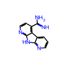 N=C(N)c1ccnc2[nH]c3ncccc3c12